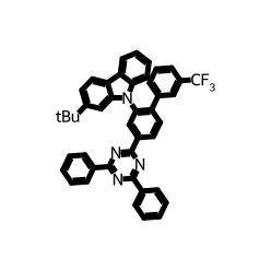 CC(C)(C)c1ccc2c3ccccc3n(-c3cc(-c4nc(-c5ccccc5)nc(-c5ccccc5)n4)ccc3-c3cccc(C(F)(F)F)c3)c2c1